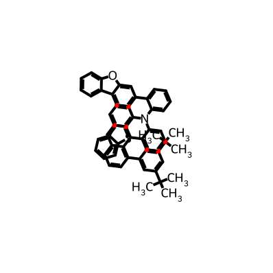 CC(C)(C)c1cc(-c2cccc3cccc(-c4ccccc4N(c4ccccc4-c4ccc5c(c4)oc4ccccc45)c4cccc5c4sc4ccccc45)c23)cc(C(C)(C)C)c1